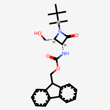 CC(C)(C)[Si](C)(C)N1C(=O)[C@H](NC(=O)OCC2c3ccccc3-c3ccccc32)[C@@H]1CO